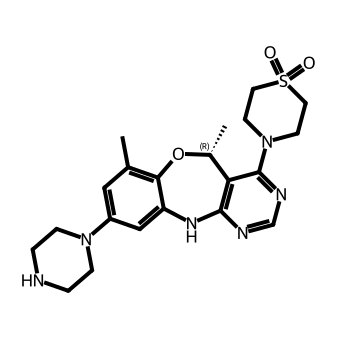 Cc1cc(N2CCNCC2)cc2c1O[C@H](C)c1c(ncnc1N1CCS(=O)(=O)CC1)N2